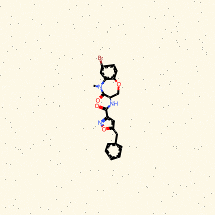 CN1C(=O)[C@@H](NC(=O)c2cc(Cc3ccccc3)on2)COc2ccc(Br)cc21